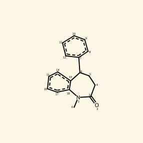 CN1C(=O)CCC(c2ccccc2)c2ccccc21